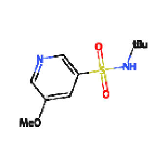 COc1cncc(S(=O)(=O)NC(C)(C)C)c1